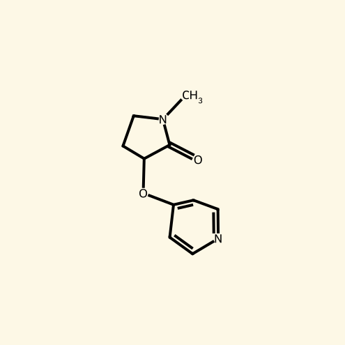 CN1CCC(Oc2ccncc2)C1=O